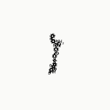 Nc1ncnc2c1c(-c1ccc(Oc3ccccc3)cc1)nn2C1CCN(C(=O)CC2CCN(C3CN(c4ccc5c(c4)C(=O)N(C4CCC(=O)NC4=O)C5=O)C3)CC2)CC1